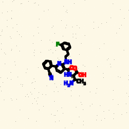 CC(N)[C@H](NC(=O)c1ccc(-c2ccccc2C#N)nc1NCCc1cccc(F)c1)C(=O)O